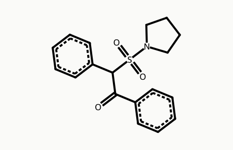 O=C(c1ccccc1)C(c1ccccc1)S(=O)(=O)N1CCCC1